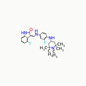 CN1C(C)(C)CC(Nc2ccc(NC=C3C(=O)Nc4cccc(F)c43)cc2F)CC1(C)C